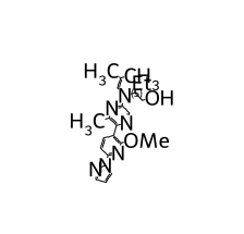 CC[C@@H](CO)N(C=C(C)C)c1cnc(-c2ccc(-n3cccn3)nc2OC)c(C)n1